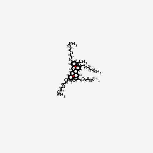 CCc1ccc2c(c1)C(Cc1cc(CCCOCCOC)cc(OCCOCCOC)c1)(Cc1cc(OCCOCCOC)cc(OCCOCCOC)c1)c1cc(C)ccc1-2